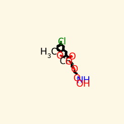 Cc1cc(Cl)cc2c1OC(C(F)(F)F)C(C(=O)OCCOCCONO)=C2